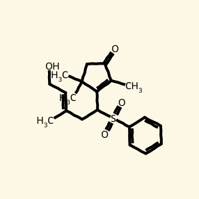 CC(=CCO)CC(C1=C(C)C(=O)CC1(C)C)S(=O)(=O)c1ccccc1